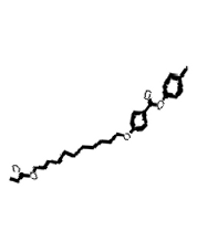 C=CC(=O)OCCCCCCCCCCCOc1ccc(C(=O)Oc2ccc(C)cc2)cc1